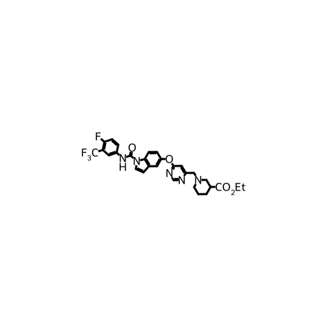 CCOC(=O)C1CCCN(Cc2cc(Oc3ccc4c(ccn4C(=O)Nc4ccc(F)c(C(F)(F)F)c4)c3)ncn2)C1